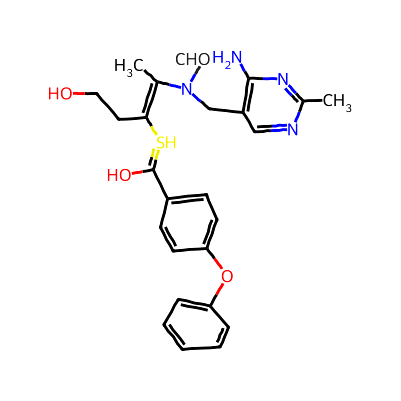 C/C(=C(CCO)/[SH]=C(\O)c1ccc(Oc2ccccc2)cc1)N(C=O)Cc1cnc(C)nc1N